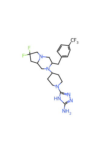 Nc1nnc(N2CCC(N3CC4CC(F)(F)CN4CC3Cc3ccc(C(F)(F)F)cc3)CC2)[nH]1